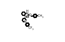 Cc1ccc(COC(=O)N[C@@H]2CCCC[C@H]2N[C@H]2CCCN(c3ccc(C(F)(F)F)cc3)C2)cc1